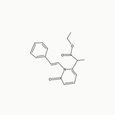 CCOC(=O)C(C)c1cccc(=O)n1C=Cc1ccccc1